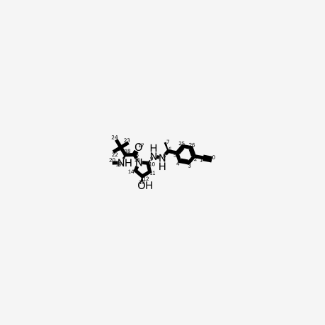 C#Cc1ccc([C@H](C)NN[C@@H]2C[C@@H](O)CN2C(=O)[C@@H](NC)C(C)(C)C)cc1